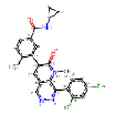 Cc1ccc(C(=O)NC2CC2)cc1-c1cc2cnnc(-c3ccc(F)cc3F)c2n(C)c1=O